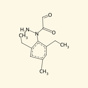 CCc1cc(C)cc(CC)c1N(N)C(=O)C=O